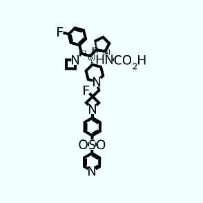 O=C(O)N[C@H]1CCC[C@@H]1[C@H](C1CCN(CC2(F)CN(c3ccc(S(=O)(=O)c4ccncc4)cc3)C2)CC1)[C@@H](c1cccc(F)c1)N1CCC1